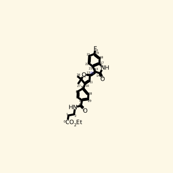 CCOC(=O)CCNC(=O)c1ccc(C2=C/C(=C3\C(=O)Nc4cc(F)ccc43)OC2(C)C)cc1